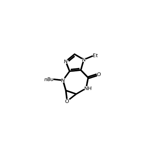 CCCCN1c2ncn(CC)c2C(=O)NC2OC21